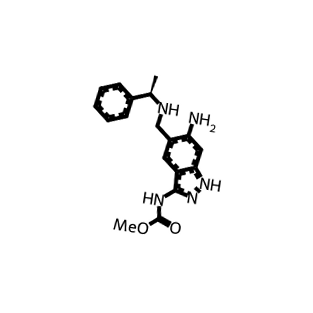 COC(=O)Nc1n[nH]c2cc(N)c(CN[C@H](C)c3ccccc3)cc12